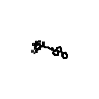 NC1=NS(=O)(=O)NC(NCCCOc2cccc3c2CCCC3N2CCCCC2)=N1